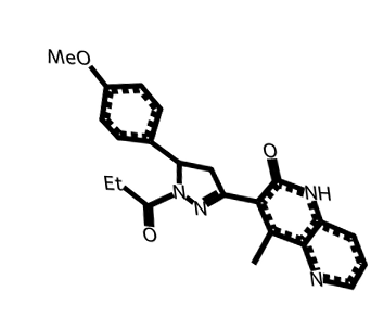 CCC(=O)N1N=C(c2c(C)c3ncccc3[nH]c2=O)CC1c1ccc(OC)cc1